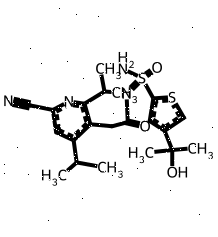 CC(C)c1cc(C#N)nc(C(C)C)c1CC(=O)N=S(N)(=O)c1cc(C(C)(C)O)cs1